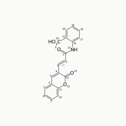 O=C(/C=C/c1cc2ccccc2oc1=O)Nc1ccccc1C(=O)O